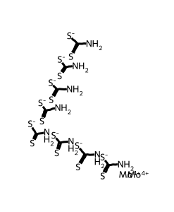 NC(=S)[S-].NC(=S)[S-].NC(=S)[S-].NC(=S)[S-].NC(=S)[S-].NC(=S)[S-].NC(=S)[S-].NC(=S)[S-].[Mo+4].[Mo+4]